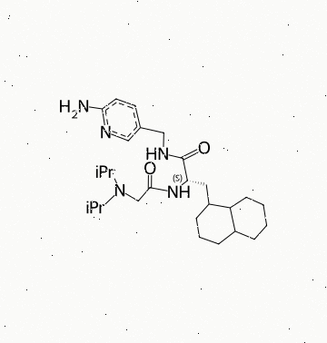 CC(C)N(CC(=O)N[C@@H](CC1CCCC2CCCCC21)C(=O)NCc1ccc(N)nc1)C(C)C